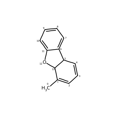 CC1=CC=CC2c3ccccc3OC12